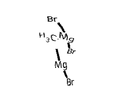 [Br][Mg][Br].[CH3].[CH3][Mg][Br]